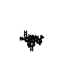 Cc1cc2c(N3CCNC4(CC3)CC4)c(C(=O)N[C@@H](C)c3cc(F)cc(C#N)c3O)cnc2c(C2CC2)n1